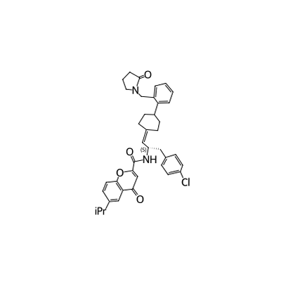 CC(C)c1ccc2oc(C(=O)N[C@H](C=C3CCC(c4ccccc4CN4CCCC4=O)CC3)Cc3ccc(Cl)cc3)cc(=O)c2c1